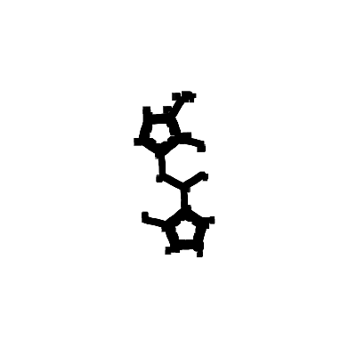 Cc1nonc1C(C)Cc1cnc(C(C)C)n1C